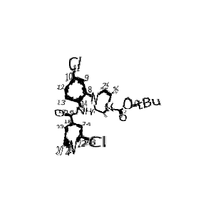 CC(C)(C)OC(=O)N1CCN(c2cc(Cl)ccc2NC(=O)c2ccnc(Cl)c2)CC1